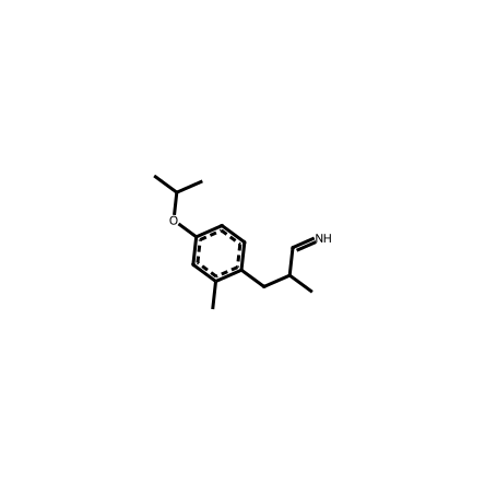 Cc1cc(OC(C)C)ccc1CC(C)C=N